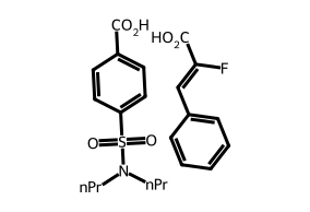 CCCN(CCC)S(=O)(=O)c1ccc(C(=O)O)cc1.O=C(O)C(F)=Cc1ccccc1